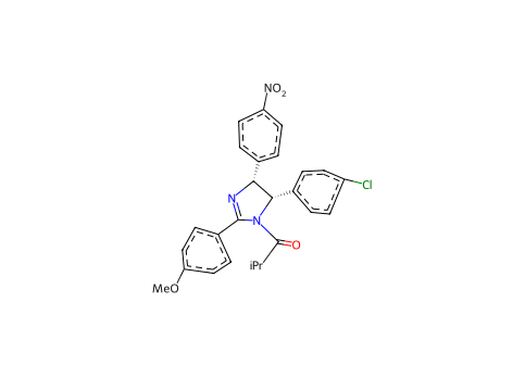 COc1ccc(C2=N[C@H](c3ccc([N+](=O)[O-])cc3)[C@H](c3ccc(Cl)cc3)N2C(=O)C(C)C)cc1